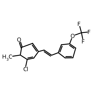 CC1C(=O)C=C(/C=C/c2cccc(OC(F)(F)F)c2)C=C1Cl